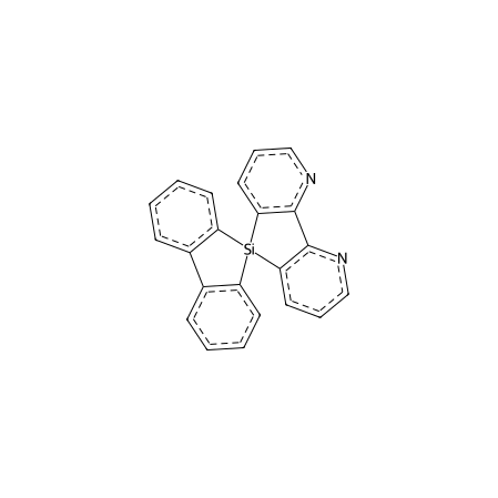 c1ccc2c(c1)-c1ccccc1[Si]21c2cccnc2-c2ncccc21